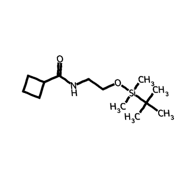 CC(C)(C)[Si](C)(C)OCCNC(=O)C1CCC1